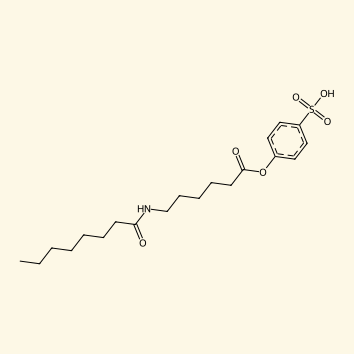 CCCCCCCC(=O)NCCCCCC(=O)Oc1ccc(S(=O)(=O)O)cc1